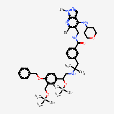 CCc1nc2c(cnn2CC)c(NC2CCOCC2)c1CNC(=O)c1cccc(CC(C)(C)NCC(O[Si](C)(C)C(C)(C)C)c2ccc(OCc3ccccc3)c(CO[Si](C)(C)C(C)(C)C)c2)c1